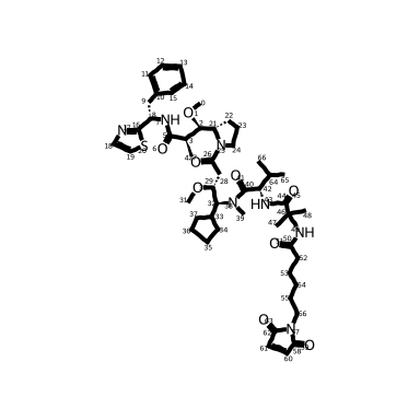 CO[C@H]([C@@H](C)C(=O)N[C@@H](Cc1ccccc1)c1nccs1)[C@@H]1CCCN1C(=O)C[C@@H](OC)[C@H](C1CCCC1)N(C)C(=O)[C@@H](NC(=O)C(C)(C)NC(=O)CCCCCN1C(=O)C=CC1=O)C(C)C